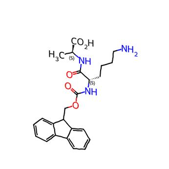 C[C@H](NC(=O)[C@H](CCCCN)NC(=O)OCC1c2ccccc2-c2ccccc21)C(=O)O